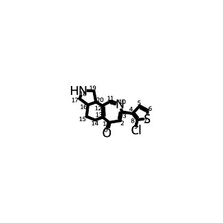 O=c1cc(-c2ccsc2Cl)ncc2c1CCC1CNCC21